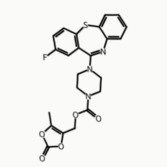 Cc1oc(=O)oc1COC(=O)N1CCN(C2=Nc3ccccc3Sc3ccc(F)cc32)CC1